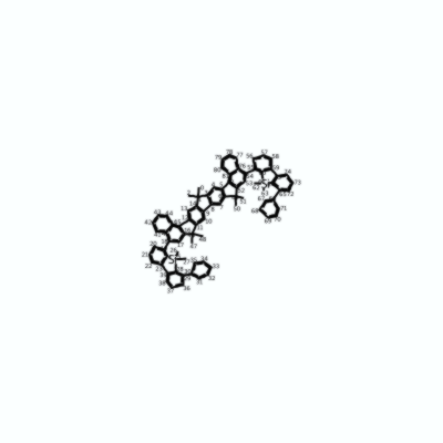 CC1(C)c2cc3c(cc2-c2cc4c(cc21)-c1c(cc(-c2cccc5c2[Si](C)(C)c2c(-c6ccccc6)cccc2-5)c2ccccc12)C4(C)C)C(C)(C)c1cc(-c2cccc4c2[Si](C)(C)c2c(-c5ccccc5)cccc2-4)c2ccccc2c1-3